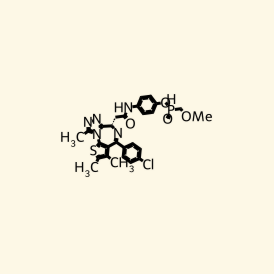 COC[PH](=O)Oc1ccc(NC(=O)C[C@@H]2N=C(c3ccc(Cl)cc3)c3c(sc(C)c3C)-n3c(C)nnc32)cc1